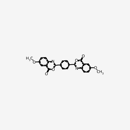 COc1ccc2nc(-c3ccc(-c4nc5ccc(OC)cc5c(=O)o4)cc3)oc(=O)c2c1